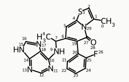 Cc1csc2cc(C(C)Nc3ncnc4[nH]cnc34)c(-c3ccccc3F)c(=O)n12